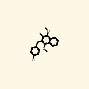 COc1c(C)c(Cc2ccc(Cl)cc2)c(OC)c2ccccc12